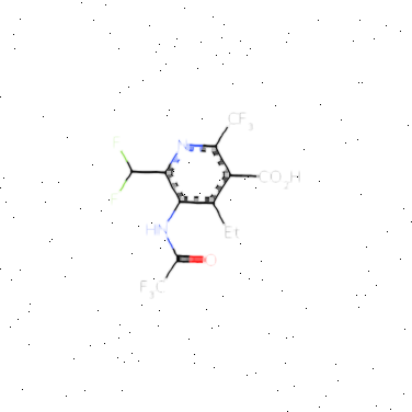 CCc1c(NC(=O)C(F)(F)F)c(C(F)F)nc(C(F)(F)F)c1C(=O)O